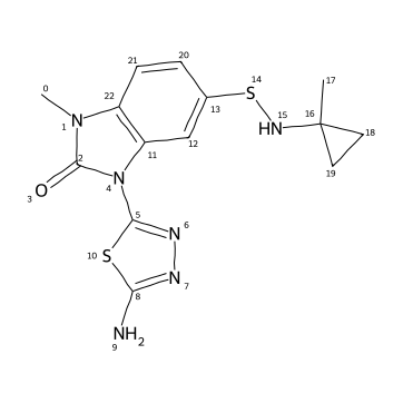 Cn1c(=O)n(-c2nnc(N)s2)c2cc(SNC3(C)CC3)ccc21